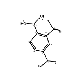 CC(C)c1ccc(B(O)O)c(C(C)C)c1